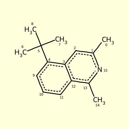 Cc1cc2c(C(C)(C)C)cccc2c(C)n1